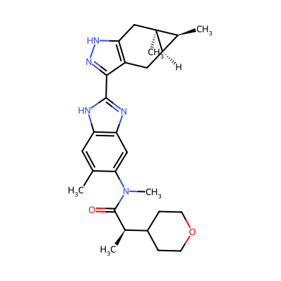 Cc1cc2[nH]c(-c3n[nH]c4c3C[C@@H]3[C@H](C)[C@]3(C)C4)nc2cc1N(C)C(=O)[C@H](C)C1CCOCC1